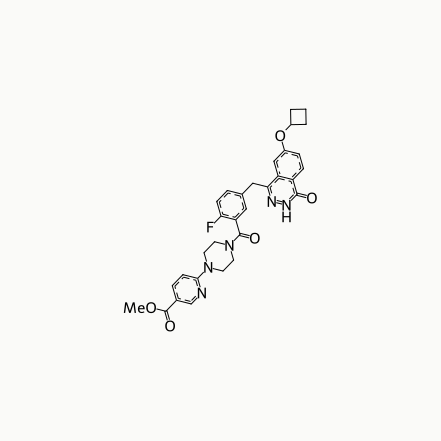 COC(=O)c1ccc(N2CCN(C(=O)c3cc(Cc4n[nH]c(=O)c5ccc(OC6CCC6)cc45)ccc3F)CC2)nc1